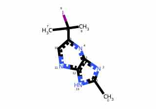 Cc1nc2nc(C(C)(C)I)cnc2[nH]1